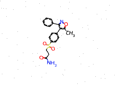 Cc1onc(-c2ccccc2)c1-c1ccc(S(=O)(=O)CCC(N)=O)cc1